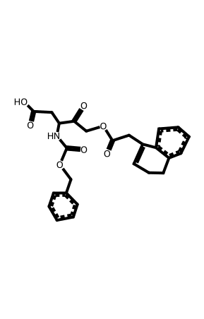 O=C(O)CC(NC(=O)OCc1ccccc1)C(=O)COC(=O)CC1=CCCc2ccccc21